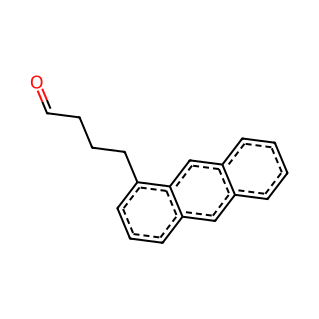 O=CCCCc1cccc2cc3ccccc3cc12